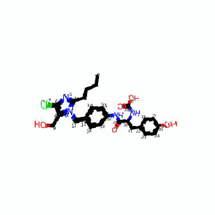 CCCCc1nc(Cl)c(CO)n1Cc1ccc(NC(=O)C(Cc2ccc(O)cc2)NC(=O)O)cc1